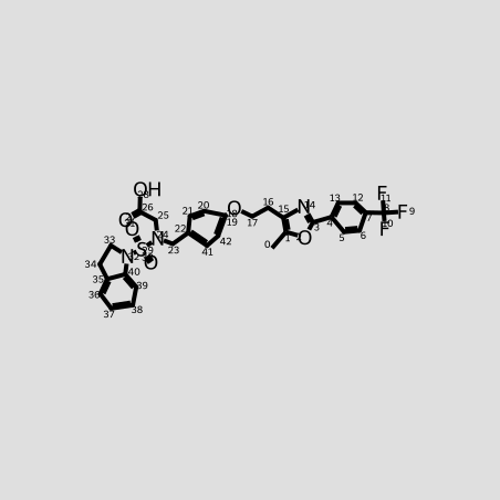 Cc1oc(-c2ccc(C(F)(F)F)cc2)nc1CCOc1ccc(CN(CC(=O)O)S(=O)(=O)N2CCc3ccccc32)cc1